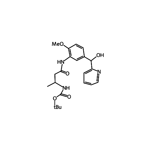 COc1ccc(C(O)c2ccccn2)cc1NC(=O)CC(C)NC(=O)OC(C)(C)C